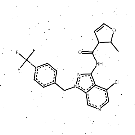 CC1OC=CC1C(=O)Nc1nn(Cc2ccc(C(F)(F)F)cc2)c2cncc(Cl)c12